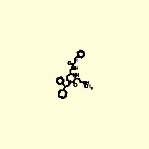 CNCCC1NC(CNC(=O)/C=C/c2ccccc2)CCN(CC(c2ccccc2)C2C=CC=CC=C2)C1=O